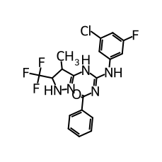 CC1C(N/C(=N\C(=O)c2ccccc2)Nc2cc(F)cc(Cl)c2)=NNC1C(F)(F)F